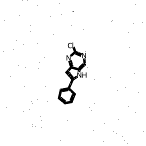 Clc1ncc2[nH]c(-c3ccccc3)cc2n1